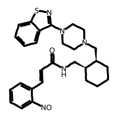 O=Nc1ccccc1/C=C/C(=O)NC[C@@H]1CCCC[C@@H]1CN1CCN(c2nsc3ccccc23)CC1